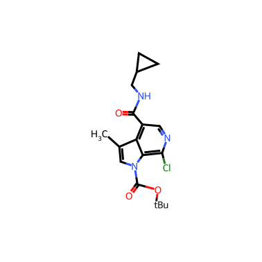 Cc1cn(C(=O)OC(C)(C)C)c2c(Cl)ncc(C(=O)NCC3CC3)c12